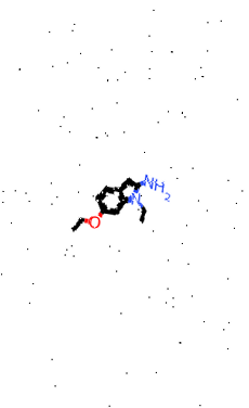 CCOc1ccc2cc(N)n(CC)c2c1